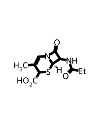 CCC(=O)NC1C(=O)N2C=C(C)C(C(=O)O)S[C@H]12